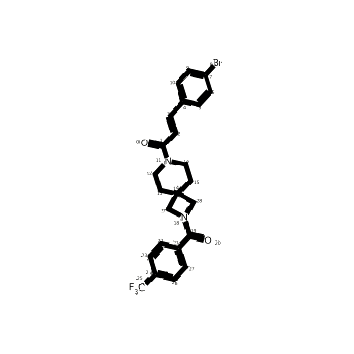 O=C(C=Cc1ccc(Br)cc1)N1CCC2(CC1)CN(C(=O)c1ccc(C(F)(F)F)cc1)C2